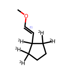 [2H]C1([2H])CCC([2H])([2H])C1([2H])/C=C/OC